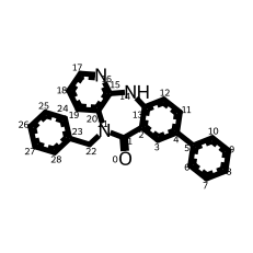 O=C1c2cc(-c3ccccc3)ccc2Nc2ncccc2N1Cc1ccccc1